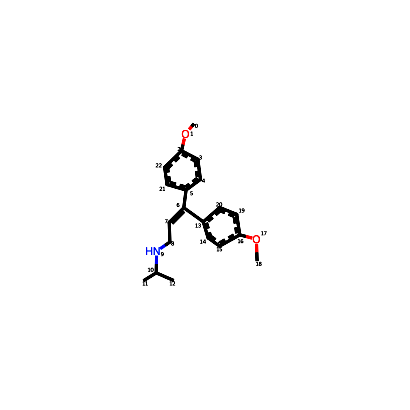 COc1ccc(C(=CCNC(C)C)c2ccc(OC)cc2)cc1